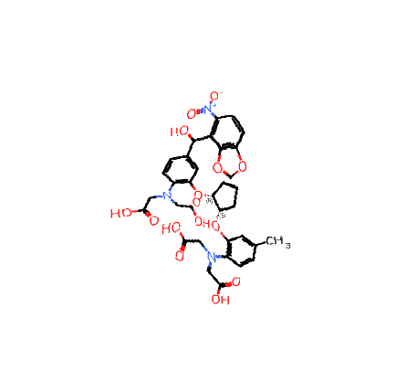 Cc1ccc(N(CC(=O)O)CC(=O)O)c(O[C@H]2CCC[C@H]2Oc2cc(C(O)c3c([N+](=O)[O-])ccc4c3OCO4)ccc2N(CC(=O)O)CC(=O)O)c1